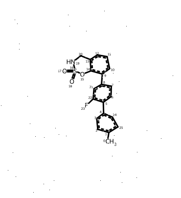 Cc1ccc(-c2ccc(-c3cccc4c3OS(=O)(=O)NC4)cc2F)cc1